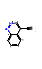 C#Cc1cnnc2ccccc12